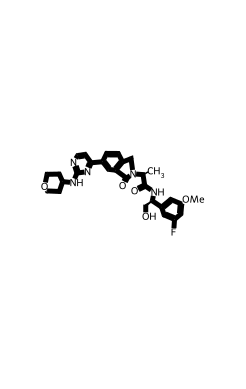 COc1cc(F)cc([C@@H](CO)NC(=O)[C@@H](C)N2Cc3ccc(-c4ccnc(NC5CCOCC5)n4)cc3C2=O)c1